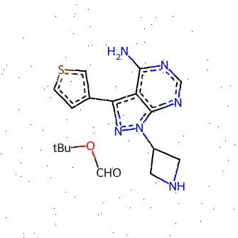 CC(C)(C)OC=O.Nc1ncnc2c1c(-c1ccsc1)nn2C1CNC1